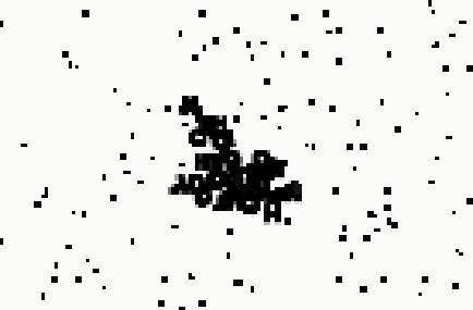 CC(C)COC(=O)c1cc(NC(=O)c2cccc(C(=O)NCCN(C)C)c2)c(SCCNC(=O)OC(C)(C)C)c(NC(=O)c2cccc(C(=O)NCCN(C)C)c2)c1